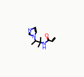 C=CC(=O)NC(C)(C)C(C)n1ccnc1